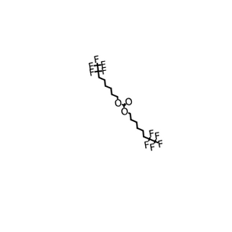 O=C(OCCCCCCC(F)(F)C(F)(F)F)OCCCCCCC(F)(F)C(F)(F)F